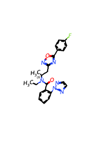 CCN(C(=O)c1ccccc1-n1nccn1)[C@@H](C)Cc1noc(-c2ccc(F)cc2)n1